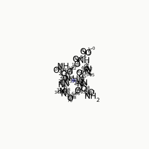 CCOC(=O)CCNC(=O)OCCCOc1cc(C(N)=O)cc2c3cnc(-c4cc(C)nn4CC)nc3n(C/C=C/Cn3c(NCC(=O)c4cc(C)nn4CC)nc4cc(C(N)=O)cc(OCCCOC)c43)c12